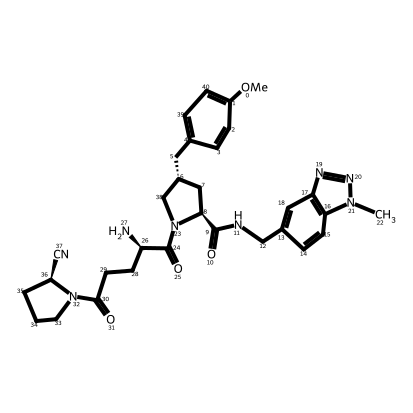 COc1ccc(C[C@@H]2C[C@@H](C(=O)NCc3ccc4c(c3)nnn4C)N(C(=O)[C@H](N)CCC(=O)N3CCC[C@H]3C#N)C2)cc1